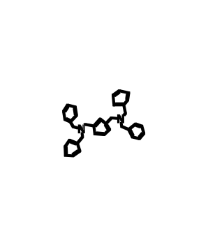 c1ccc(CN(Cc2ccccc2)Cc2cccc(CN(Cc3ccccc3)Cc3ccccc3)c2)cc1